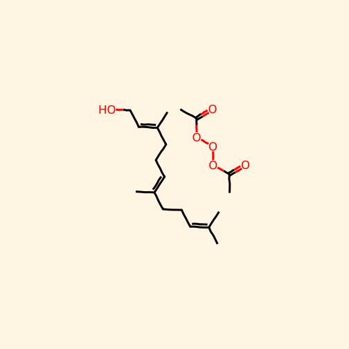 CC(=O)OOOC(C)=O.CC(C)=CCCC(C)=CCCC(C)=CCO